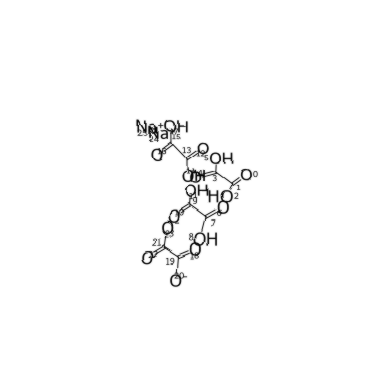 O=C(O)C(=O)O.O=C(O)C(=O)O.O=C(O)C(=O)O.O=C([O-])C(=O)[O-].[Na+].[Na+]